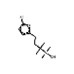 CC(=O)c1ccc(CCC(C)(C)[Si](C)(C)O)s1